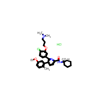 CCOc1ccc(C)c(-c2ccc(C(=O)NC3(C(=O)O)CCCCC3)nc2-c2ccc(Cl)c(OCCCN(C)C)c2)c1.Cl